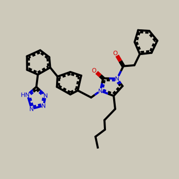 CCCCCc1cn(C(=O)Cc2ccccc2)c(=O)n1Cc1ccc(-c2ccccc2-c2nnn[nH]2)cc1